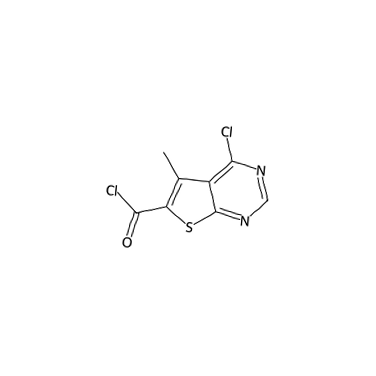 Cc1c(C(=O)Cl)sc2ncnc(Cl)c12